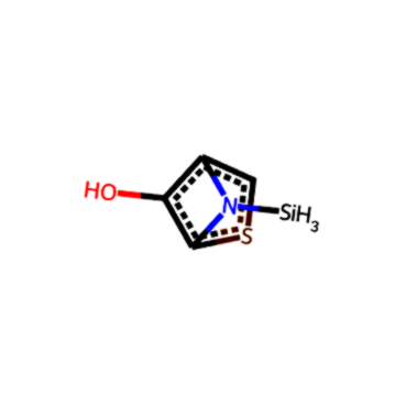 Oc1c2csc1N2[SiH3]